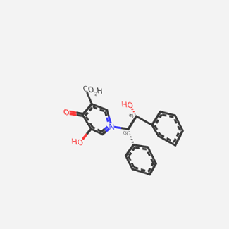 O=C(O)c1cn([C@@H](c2ccccc2)[C@H](O)c2ccccc2)cc(O)c1=O